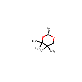 [2H]B1OCC(C)(C)C(C)(C)O1